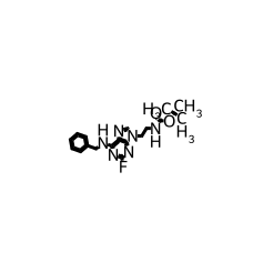 CC(C)(C)OC(=O)NCCn1cnc2c(NCc3ccccc3)nc(F)nc21